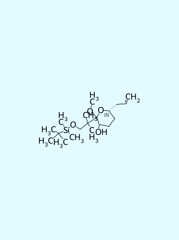 C=CC[C@@H]1CCC(O)C(OC)(C(C)(C)CO[Si](C)(C)C(C)(C)C)O1